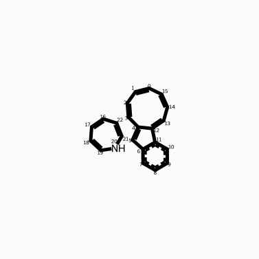 C1=CC=CC2=Cc3ccccc3C2=CC=C1.C1=CC=CNC=C1